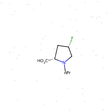 CCCN1C[C@@H](F)C[C@H]1C(=O)O